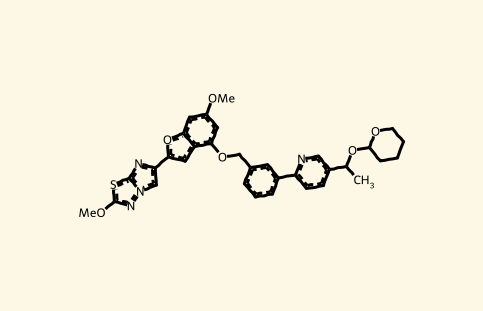 COc1cc(OCc2cccc(-c3ccc(C(C)OC4CCCCO4)cn3)c2)c2cc(-c3cn4nc(OC)sc4n3)oc2c1